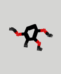 [CH2]Cc1c(OCCC)ccc(OCCC)c1OCCC